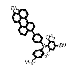 Cc1ccc(N(c2ccc(-c3ccc4c5cccc6c(C)ccc(c7cccc3c74)c65)cc2)c2c(C)cc(C(C)(C)C)cc2C)cc1